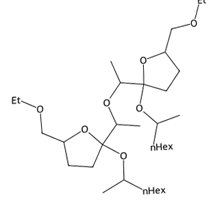 CCCCCCC(C)OC1(C(C)OC(C)C2(OC(C)CCCCCC)CCC(COCC)O2)CCC(COCC)O1